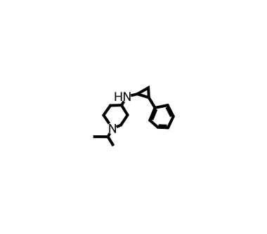 CC(C)N1CCC(NC2CC2c2ccccc2)CC1